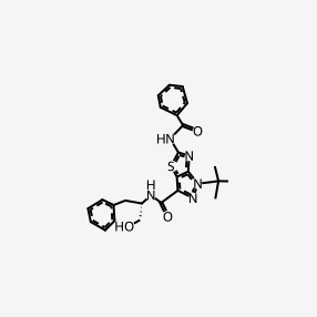 CC(C)(C)n1nc(C(=O)N[C@H](CO)Cc2ccccc2)c2sc(NC(=O)c3ccccc3)nc21